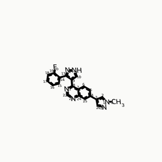 Cn1cc(-c2ccc3c(-c4c[nH]nc4-c4ccccc4F)ncnc3c2)cn1